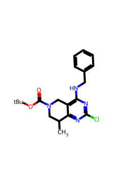 CC1CN(C(=O)OC(C)(C)C)Cc2c(NCc3ccccc3)nc(Cl)nc21